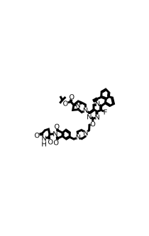 C#Cc1cccc2cccc(-c3ncc4c(N5CC6CC7(C(=O)OC(C)(C)C)CC(C5)N67)nc(OCCN5CCN(Cc6ccc7c(c6)C(=O)N(C6CCC(=O)NC6=O)C7=O)CC5)nc4c3F)c12